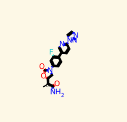 C[C@H](C(N)=O)C1CN(c2ccc(-c3ccc(-n4ccnn4)nc3)c(F)c2)C(=O)O1